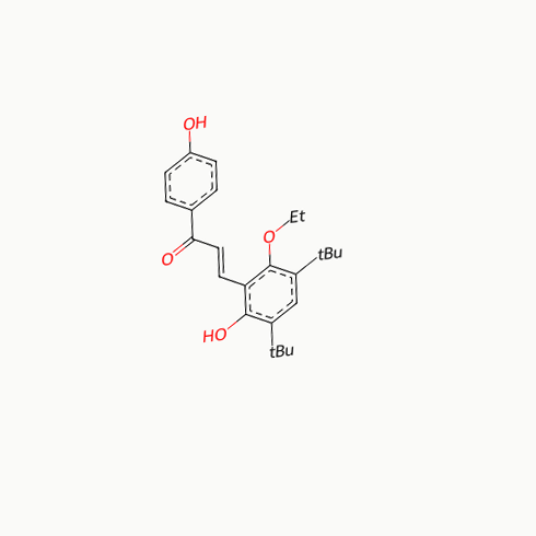 CCOc1c(C(C)(C)C)cc(C(C)(C)C)c(O)c1C=CC(=O)c1ccc(O)cc1